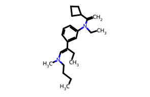 C=C(C1CCC1)N(CC)c1cccc(/C(=C/N(C)CCCC)CC)c1